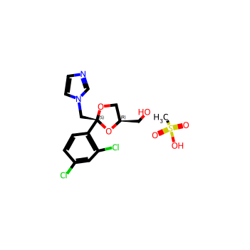 CS(=O)(=O)O.OC[C@@H]1CO[C@@](Cn2ccnc2)(c2ccc(Cl)cc2Cl)O1